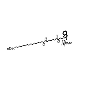 CCCCCCCCCCCCCCCCCCCCCCCCCC(=O)NCCCCCNC(=O)CCn1c(CN(C)NC)cc2ccccc21